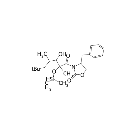 CC(CC(C)(C)C)C(O)C(C)(O[SiH](C)C)C(=O)N1C(=O)OCC1Cc1ccccc1